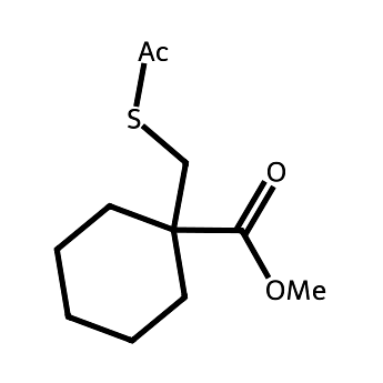 COC(=O)C1(CSC(C)=O)CCCCC1